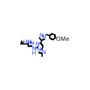 COc1ccc(Cn2cc(-c3cc4nc(C)cn4c(Nc4cc(C5CC5)[nH]n4)n3)cn2)cc1